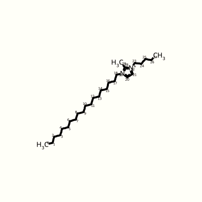 CCCCCCCCCCCCCCCCCCCn1cc[n+](CCCCC)c1C